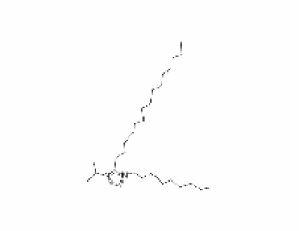 CCCCCCCCCCCCCCCc1n(C(C)C)cc[n+]1CCCCCCCCC